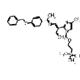 C=C/C(=C\N=C(/C)[C@H]1C=CC(OCc2ccccc2)=CC1)c1nc(C(F)(F)F)cn1COCC[Si](C)(C)C